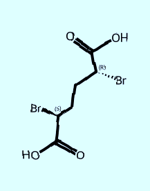 O=C(O)[C@H](Br)CC[C@H](Br)C(=O)O